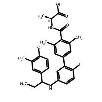 CCC(Nc1ccc(F)c(-c2cc(C)c(C(=O)N[C@@H](C)C(=O)O)c(C)c2)c1)c1ccc(Cl)c(C)c1